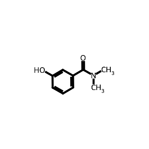 CN(C)C(=O)c1cccc(O)c1